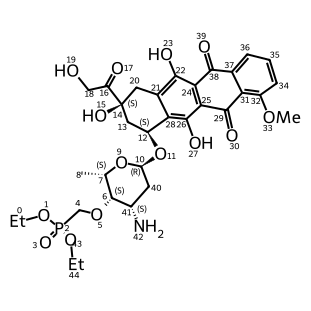 CCOP(=O)(CO[C@@H]1[C@H](C)O[C@@H](O[C@H]2C[C@](O)(C(=O)CO)Cc3c(O)c4c(c(O)c32)C(=O)c2c(OC)cccc2C4=O)C[C@@H]1N)OCC